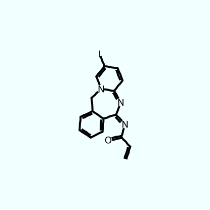 C=CC(=O)/N=C1/N=C2C=CC(I)=CN2Cc2ccccc21